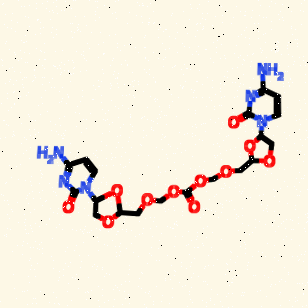 Nc1ccn(C2COC(COCOC(=O)OCOCC3OCC(n4ccc(N)nc4=O)O3)O2)c(=O)n1